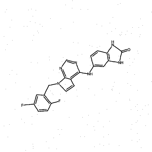 O=c1[nH]c2ccc(Nc3ncnc4c3ccn4Cc3cc(F)ccc3F)cc2[nH]1